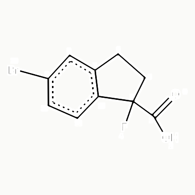 O=C(O)C1(F)CCc2cc(Br)ccc21